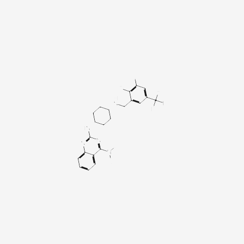 CN(C)c1nc(N[C@H]2CC[C@@H](NCc3cc(C(F)(F)F)cc(Cl)c3F)CC2)nc2ccccc12